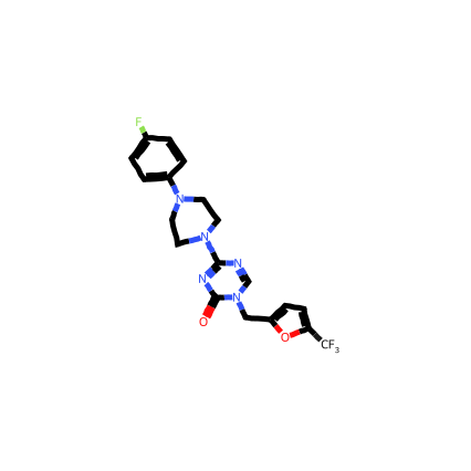 O=c1nc(N2CCN(c3ccc(F)cc3)CC2)ncn1Cc1ccc(C(F)(F)F)o1